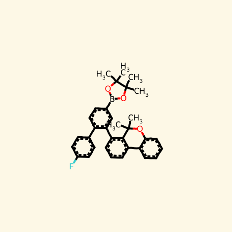 CC1(C)Oc2ccccc2-c2cccc(-c3cc(B4OC(C)(C)C(C)(C)O4)ccc3-c3ccc(F)cc3)c21